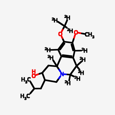 [2H]c1c(OC([2H])([2H])[2H])c(OC)c([2H])c2c1C1([2H])CC(O)C(CC(C)C)CN1C([2H])([2H])C2([2H])[2H]